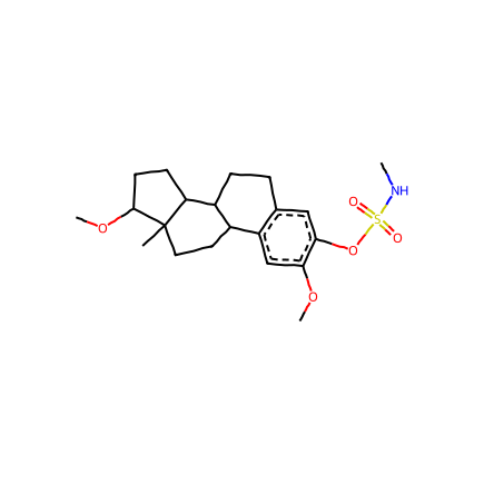 CNS(=O)(=O)Oc1cc2c(cc1OC)C1CCC3(C)C(OC)CCC3C1CC2